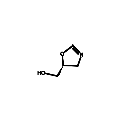 OC[C@H]1CN=[C]O1